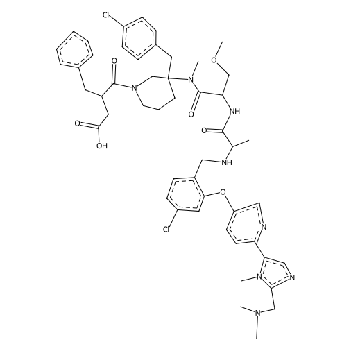 COCC(NC(=O)C(C)NCc1ccc(Cl)cc1Oc1ccc(-c2cnc(CN(C)C)n2C)nc1)C(=O)N(C)C1(Cc2ccc(Cl)cc2)CCCN(C(=O)C(CC(=O)O)Cc2ccccc2)C1